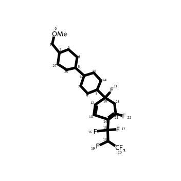 COCC1CCC(C2CCC(C3(F)C=CC(C(F)(F)C(F)C(F)(F)F)=C(F)C3)CC2)CC1